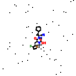 CC(C)(C)N(C(=O)O)C(Cc1sccc1F)C(=O)N[C@]1(C#N)C[C@H]1c1ccccc1